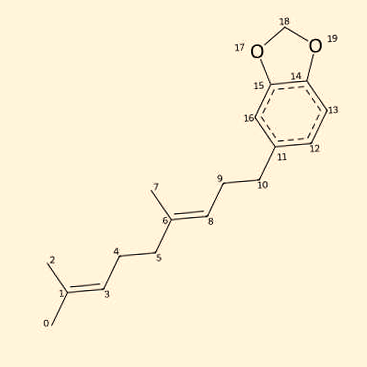 CC(C)=CCC/C(C)=C/CCc1ccc2c(c1)OCO2